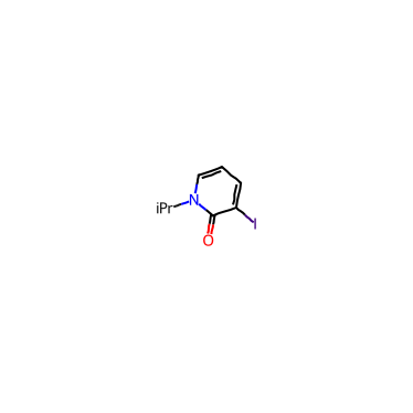 CC(C)n1cccc(I)c1=O